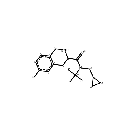 Cc1ccc2c(c1)CC(C(=O)N(CC1CC1)C(C)(C)C)NC2